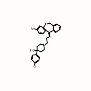 OC1(c2ccc(Cl)cc2)CCN(CC/C=C2/c3ccccc3COc3cc(Br)ccc32)CC1